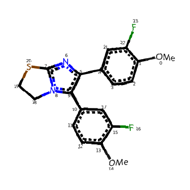 COc1ccc(-c2nc3n(c2-c2ccc(OC)c(F)c2)CCS3)cc1F